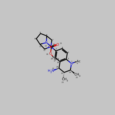 CC(=O)N1c2ccc(N3CC4CCC(C3)N4C(=O)OC(C)(C)C)cc2[C@H](N)[C@@H](C)[C@@H]1C